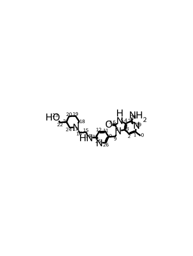 Cc1cc2c([nH]c(=O)n2Cc2ccc(NCCN3CCCC(CO)C3)nc2)c(N)n1